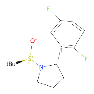 CC(C)(C)[S@@+]([O-])N1CCC[C@H]1c1cc(F)ccc1F